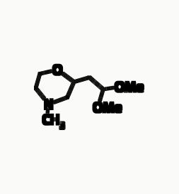 COC(CC1CN(C)CCO1)OC